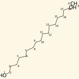 C.OCCCCCCCCCCCCCCCCO